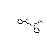 CON=C(CCCC(=O)c1ccccc1)c1ccccc1